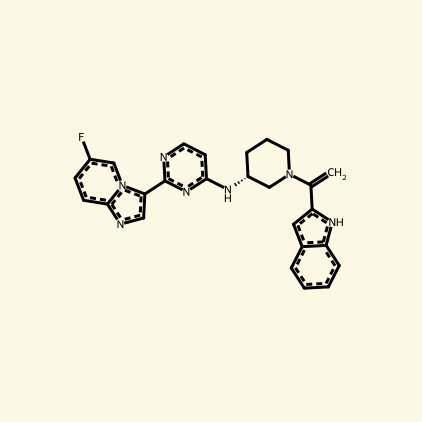 C=C(c1cc2ccccc2[nH]1)N1CCC[C@@H](Nc2ccnc(-c3cnc4ccc(F)cn34)n2)C1